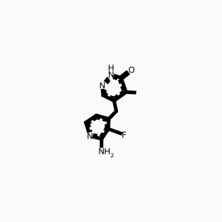 Cc1c(Cc2ccnc(N)c2F)cn[nH]c1=O